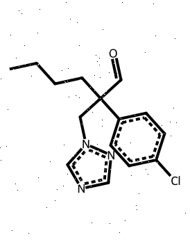 CCCCC(C=O)(Cn1cncn1)c1ccc(Cl)cc1